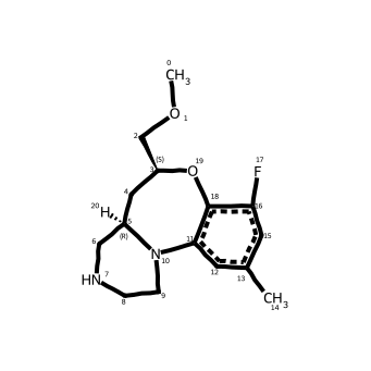 COC[C@@H]1C[C@@H]2CNCCN2c2cc(C)cc(F)c2O1